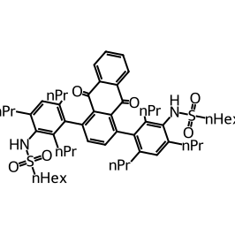 CCCCCCS(=O)(=O)Nc1c(CCC)cc(CCC)c(-c2ccc(-c3c(CCC)cc(CCC)c(NS(=O)(=O)CCCCCC)c3CCC)c3c2C(=O)c2ccccc2C3=O)c1CCC